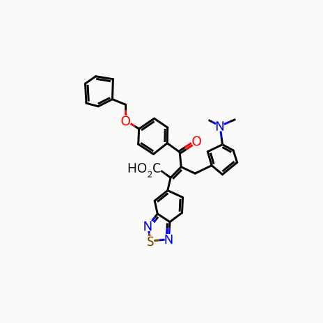 CN(C)c1cccc(CC(C(=O)c2ccc(OCc3ccccc3)cc2)=C(C(=O)O)c2ccc3nsnc3c2)c1